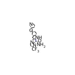 NC(=O)/C(=C1\Nc2ccc(Oc3cccnc3)cc2S1)c1nccc(C(F)(F)F)n1